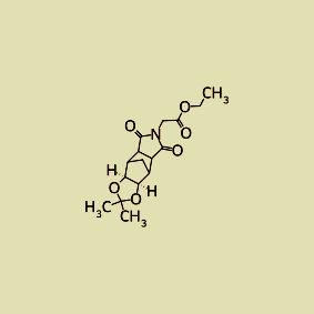 CCOC(=O)CN1C(=O)C2C(C1=O)C1CC2[C@H]2OC(C)(C)O[C@@H]12